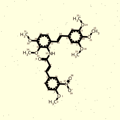 COc1ccc(/C=C/C(=O)Nc2c(C=Cc3cc(OC)c(OC)c(OC)c3)ccc(OC)c2OC)cc1[N+](=O)[O-]